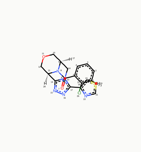 Cc1cccc(C(=O)N2[C@H]3COC[C@@H]2c2nnc(-c4cscn4)n2C3)c1Cl